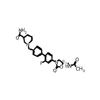 CC(=O)NC[C@H]1CN(c2ccc(-c3ccc(CN4CCCC(C(N)=O)C4)cc3)c(F)c2)C(=O)O1